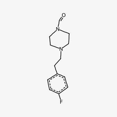 O=CN1CCN(CCc2ccc(F)cc2)CC1